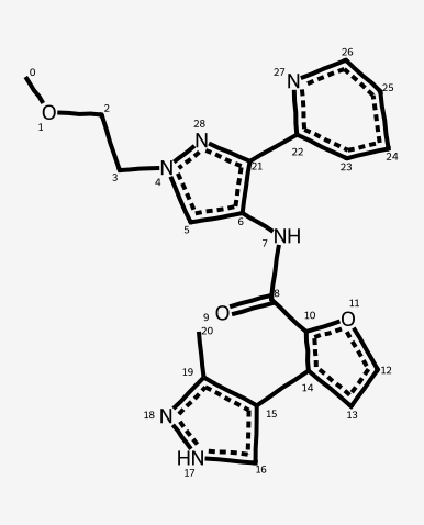 COCCn1cc(NC(=O)c2occc2-c2c[nH]nc2C)c(-c2ccccn2)n1